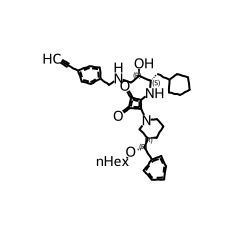 C#Cc1ccc(CNC[C@@H](O)[C@H](CC2CCCCC2)Nc2c(N3CCC[C@@H]([C@@H](OCCCCCC)c4ccccc4)C3)c(=O)c2=O)cc1